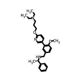 CCN(CC)CCCOc1ccc(-c2cc(CN[C@H](C)c3ccccc3)ccc2OC)cn1